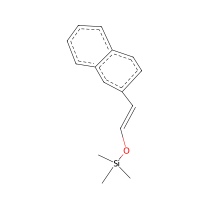 C[Si](C)(C)OC=Cc1ccc2ccccc2c1